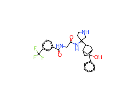 O=C(CNC(=O)c1cccc(C(F)(F)F)c1)N[C@@]1(C2CC3CC2CC3(O)c2ccccc2)CCNC1